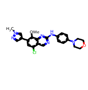 COc1c(-c2cnn(C)c2)cc(Cl)c2cnc(Nc3ccc(N4CCOCC4)cc3)nc12